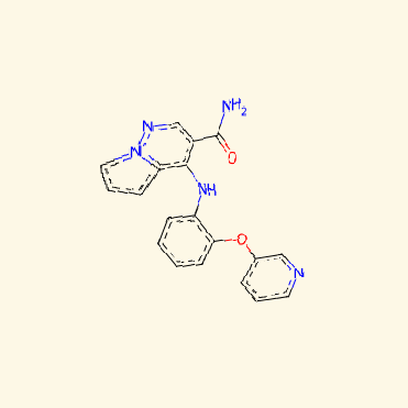 NC(=O)c1cnn2cccc2c1Nc1ccccc1Oc1cccnc1